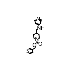 O=C(OCc1ccsc1)N1CCC(CNc2ccncc2)CC1